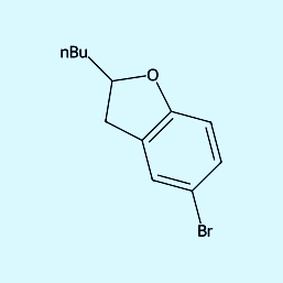 CCCCC1Cc2cc(Br)ccc2O1